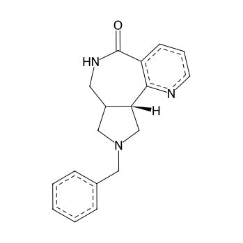 O=C1NCC2CN(Cc3ccccc3)C[C@H]2c2ncccc21